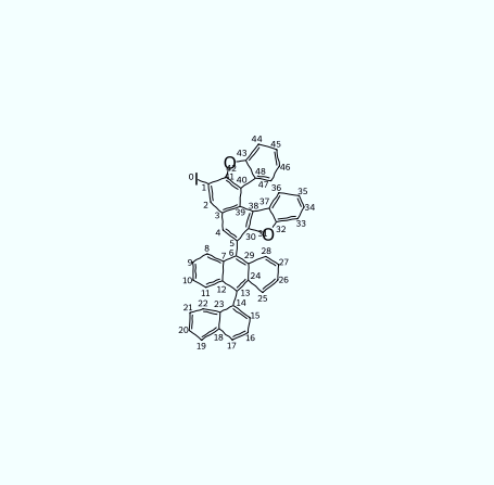 Ic1cc2cc(-c3c4ccccc4c(-c4cccc5ccccc45)c4ccccc34)c3oc4ccccc4c3c2c2c1oc1ccccc12